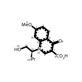 COc1ccc2c(=O)c(C(=O)O)cn([C@H](CO)C(C)C)c2c1